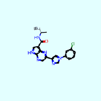 C[C@H](NC(=O)c1c[nH]c2ncc(-c3cn(-c4cccc(Cl)c4)cn3)nc12)C(C)(C)C